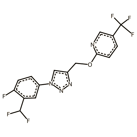 Fc1ccc(-n2cc(COc3ccc(C(F)(F)F)cn3)nn2)cc1C(F)F